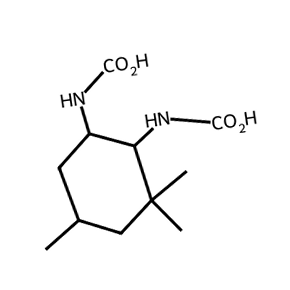 CC1CC(NC(=O)O)C(NC(=O)O)C(C)(C)C1